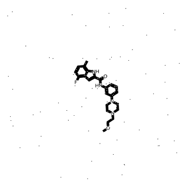 COCCN1CCN(c2cccc(NC(=O)c3cc4c(F)ccc(C)c4[nH]3)c2)CC1